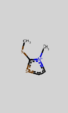 CSc1scc[n+]1C